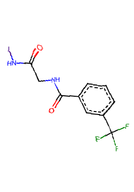 O=C(CNC(=O)c1cccc(C(F)(F)F)c1)NI